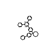 C1=CC(c2ccc(C3(c4ccc(-c5cc(-c6ccccc6)nc(C6=CCCC=C6)n5)cc4)CCCCCC3)cc2)=CCC1